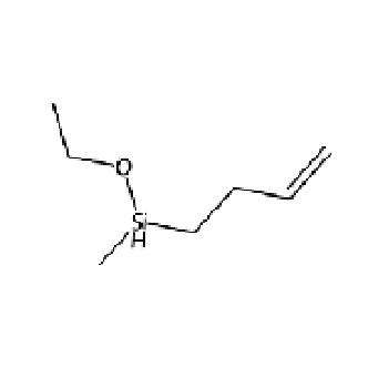 C=CCC[SiH](C)OCC